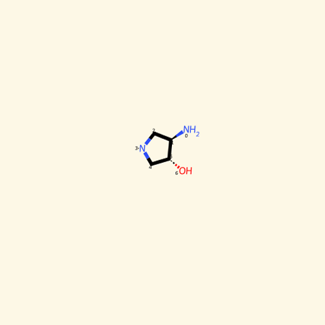 N[C@@H]1C[N]C[C@H]1O